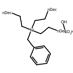 CCCCCCCCCCCC[N+](CCCCCCCCCCCC)(CCCCCCCCCCCC)Cc1ccccc1.O=S(=O)(O)O